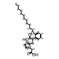 CCCCCCCCCCCCOc1ccccc1C(Sc1nnnn1CC(=O)O)C(=O)O